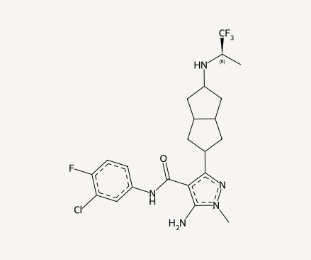 C[C@@H](NC1CC2CC(c3nn(C)c(N)c3C(=O)Nc3ccc(F)c(Cl)c3)CC2C1)C(F)(F)F